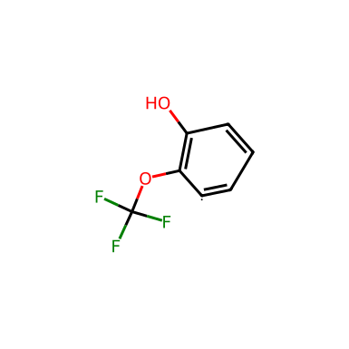 Oc1ccc[c]c1OC(F)(F)F